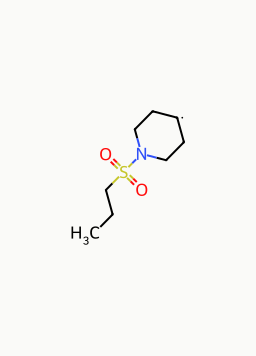 CCCS(=O)(=O)N1CC[CH]CC1